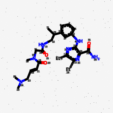 CCc1nc(Nc2cccc(C(C)CNC(=O)CN(C)C(=O)/C=C/CN(C)C)c2)c(C(N)=O)nc1CC